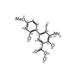 COc1ccc(-c2nc(C(=O)OCl)c(Cl)c(N)c2F)c(Cl)n1